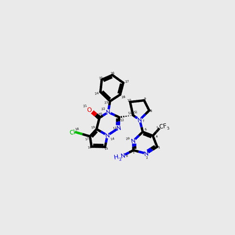 Nc1ncc(C(F)(F)F)c(N2CCC[C@H]2c2nn3ccc(Cl)c3c(=O)n2-c2ccccc2)n1